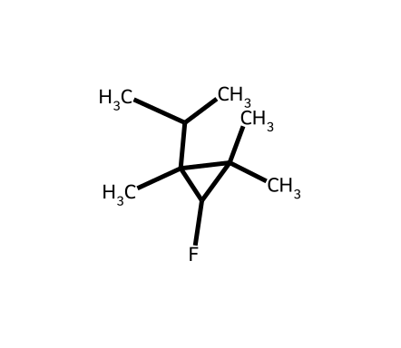 CC(C)C1(C)C(F)C1(C)C